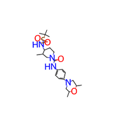 CC1CN(c2ccc(NC(=O)N3CCC(NS(=O)(=O)C(C)(C)C)C(C)C3)cc2)CC(C)O1